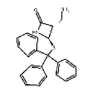 NC[C@H]1C(=O)N[C@@H]1SC(c1ccccc1)(c1ccccc1)c1ccccc1